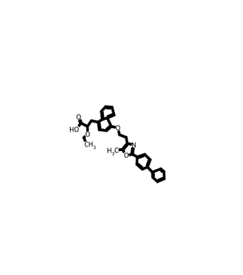 CCOC(Cc1ccc(OCCc2nc(-c3ccc(-c4ccccc4)cc3)oc2C)c2ccccc12)C(=O)O